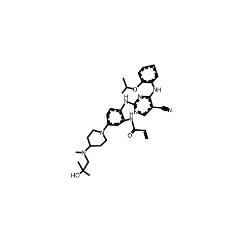 C=CC(=O)Nc1cc(N2CCC(N(C)CC(C)(C)O)CC2)ccc1Nc1ncc(C#N)c(Nc2ccccc2OC(C)C)n1